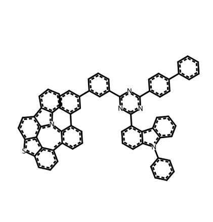 c1ccc(-c2ccc(-c3nc(-c4cccc(-c5cccc(-c6cccc7c8cccc9sc%10ccc%11c%12ccccc%12n(c67)c%11c%10c98)c5)c4)nc(-c4cccc5c4c4ccccc4n5-c4ccccc4)n3)cc2)cc1